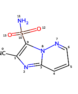 N#Cc1nc2cccnn2c1S(N)(=O)=O